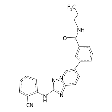 N#Cc1ccccc1Nc1nc2ccc(-c3cccc(C(=O)NCCC(F)(F)F)c3)cn2n1